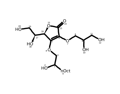 CCCCCCCCC(O)COC1=C(OCC(O)CO)C(=O)O[C@@H]1[C@@H](O)CO